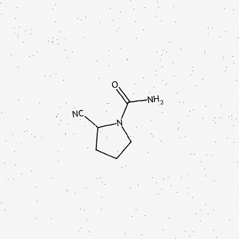 N#CC1CCCN1C(N)=O